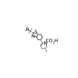 C[C@H]1CC=C(c2ccc3sc(C(C)(C)N(C)C)nc3c2)N(C(=O)O)C1